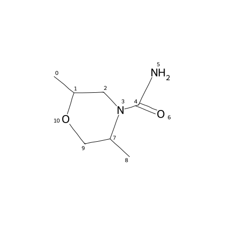 CC1CN(C(N)=O)C(C)CO1